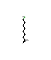 C=C(C)CCCCCCCCl